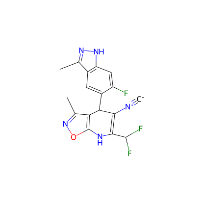 [C-]#[N+]C1=C(C(F)F)Nc2onc(C)c2C1c1cc2c(C)n[nH]c2cc1F